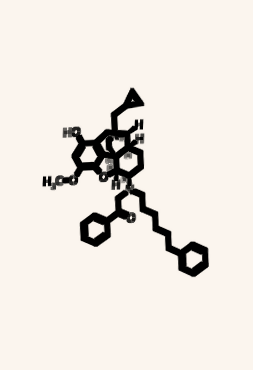 COc1cc(O)c2c3c1O[C@H]1[C@H](N(CCCCCCc4ccccc4)CC(=O)c4ccccc4)CC[C@H]4[C@@H](C2)N(CC2CC2)CC[C@@]341